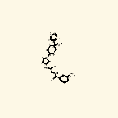 O=C(CNC(=O)c1cccc(C(F)(F)F)c1)N[C@@H]1CCN(C2CCC(O)(c3cncs3)CC2)C1